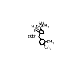 Cc1ccc(CC2=[C]([Ti+3])C([Si](C)(C)C)=CC2)cc1C.[Cl-].[Cl-].[Cl-]